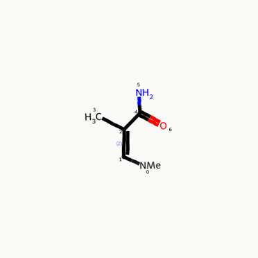 CN/C=C(/C)C(N)=O